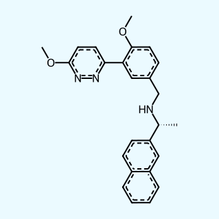 COc1ccc(-c2cc(CN[C@H](C)c3ccc4ccccc4c3)ccc2OC)nn1